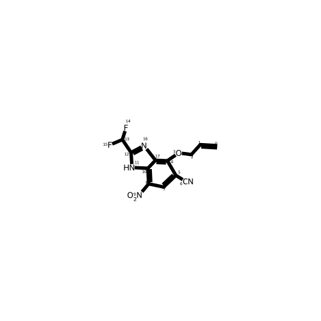 C=CCOc1c(C#N)cc([N+](=O)[O-])c2[nH]c(C(F)F)nc12